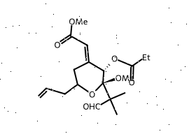 C=CCC1C/C(=C\C(=O)OC)[C@H](OC(=O)CC)[C@](OC)(C(C)(C)C=O)O1